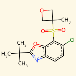 CC(C)(C)c1nc2ccc(Cl)c(S(=O)(=O)C3(C)COC3)c2o1